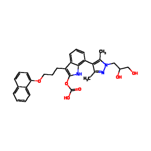 Cc1nn(CC(O)CO)c(C)c1-c1cccc2c(CCCOc3cccc4ccccc34)c(OC(=O)O)[nH]c12